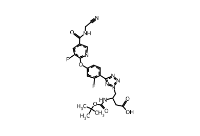 CC(C)(C)OC(=O)NC(CC(=O)O)Cn1nnc(-c2ccc(Oc3ncc(C(=O)NCC#N)cc3F)cc2F)n1